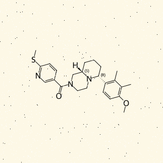 COc1ccc([C@H]2CCC[C@H]3CN(C(=O)c4ccc(SC)nc4)CCN32)c(C)c1C